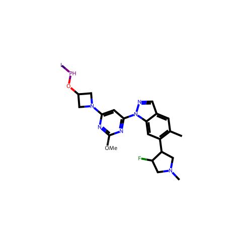 COc1nc(N2CC(OPI)C2)cc(-n2ncc3cc(C)c(C4CN(C)CC4F)cc32)n1